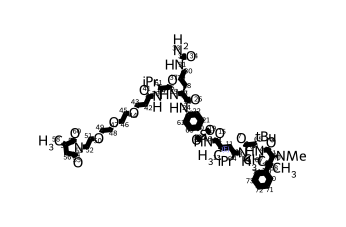 CN[C@H](C(=O)N[C@H](C(=O)N(C)[C@H](/C=C(\C)C(=O)NS(=O)(=O)c1ccc(NC(=O)[C@H](CCCNC(N)=O)NC(=O)[C@@H](NC(=O)CCOCCOCCOCCN2C(=O)CC(C)C2=O)C(C)C)cc1)C(C)C)C(C)(C)C)C(C)(C)c1ccccc1